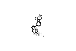 CC(C)(C)OC(=O)N1CCCC(c2ccc3cnc(N)nn23)C1